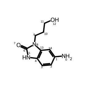 Nc1ccc2[nH]c(=O)n(CCCO)c2c1